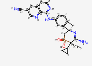 C[C@]1(C2CC2)C(N)=N[C@@]2(Cc3ccc(Nc4nccc5cc(C#N)cnc45)cc32)CS1(=O)=O